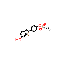 CS(=O)(=O)Oc1ccc(-c2cc3ccc(O)cc3s2)cc1